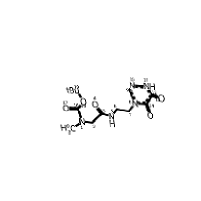 CN(CC(=O)NCCn1[c]n[nH]c(=O)c1=O)C(=O)OC(C)(C)C